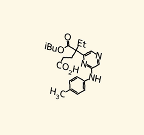 CCC(CCC(=O)O)(C(=O)OCC(C)C)c1cncc(Nc2ccc(C)cc2)n1